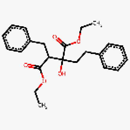 CCOC(=O)C(Cc1ccccc1)C(O)(CCc1ccccc1)C(=O)OCC